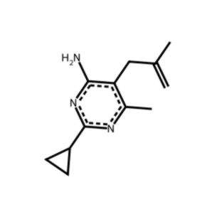 C=C(C)Cc1c(C)nc(C2CC2)nc1N